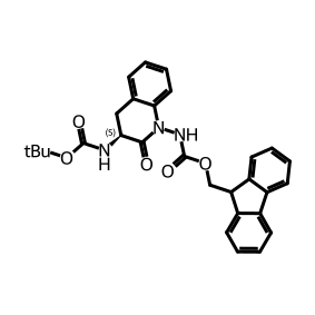 CC(C)(C)OC(=O)N[C@H]1Cc2ccccc2N(NC(=O)OCC2c3ccccc3-c3ccccc32)C1=O